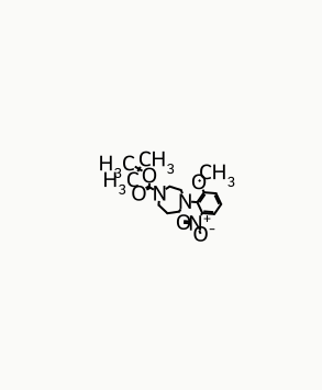 COc1cccc([N+](=O)[O-])c1N1CCCN(C(=O)OC(C)(C)C)CC1